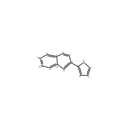 c1csc(-c2ccc3cnncc3c2)c1